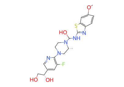 COc1ccc2nc(NC(O)N3CCN(c4ncc([C@H](O)CO)cc4F)C[C@H]3C)sc2c1